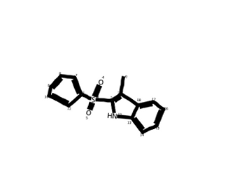 Cc1c(S(=O)(=O)c2ccccc2)[nH]c2ccccc12